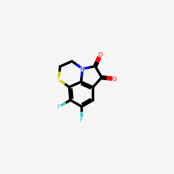 O=C1C(=O)N2CCSc3c(F)c(F)cc1c32